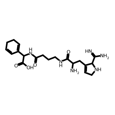 N=C(N)C1NCC=C1CC(N)C(=O)NCCCC(=O)NC(C(=O)O)C1=CCCC=C1